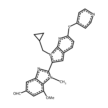 COc1cc(C=O)cc2nc(-c3cc4ccc(Sc5ccncc5)nc4n3CC3CC3)n(C)c12